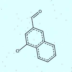 O=[C]c1cc(Cl)c2ccccc2c1